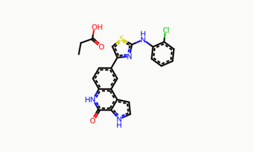 CCC(=O)O.O=c1[nH]c2ccc(-c3csc(Nc4ccccc4Cl)n3)cc2c2cc[nH]c12